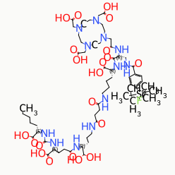 CCCCC[C@H](NC(=O)N[C@@H](CCC(=O)N[C@H](CCCNC(=O)CCC(=O)NCCCC[C@@H](NC(=O)[C@@H](CNC(=O)c1ccc([Si](F)(C(C)(C)C)C(C)(C)C)cc1)NC(=O)CN1CCN(CC(=O)O)CCN(CC(=O)O)CCN(CC(=O)O)CC1)C(=O)O)C(O)O)C(=O)O)C(=O)O